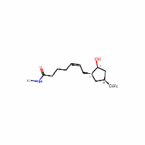 CCNC(=O)CCC/C=C\C[C@@H]1C[C@H](OC)C[C@@H]1O